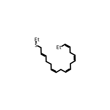 CC/C=C\C/C=C\C/C=C\C/C=C\CC/C=C/CSCC